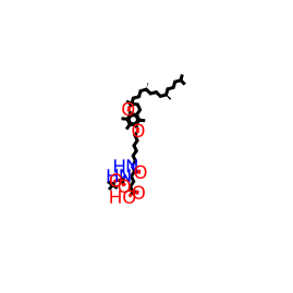 Cc1c(C)c2c(c(C)c1OCCCCCCNC(=O)C(CCC(=O)O)NC(=O)OC(C)(C)C)CCC(C)(CCC[C@H](C)CCC[C@H](C)CCCC(C)C)O2